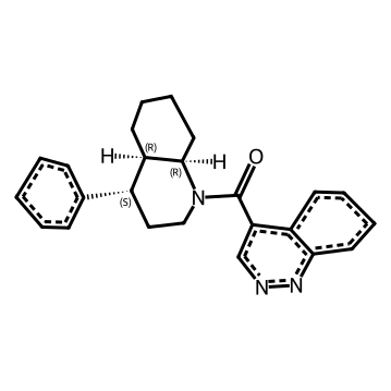 O=C(c1cnnc2ccccc12)N1CC[C@H](c2ccccc2)[C@H]2CCCC[C@H]21